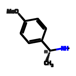 COc1ccc([C@@H](C)[NH])cc1